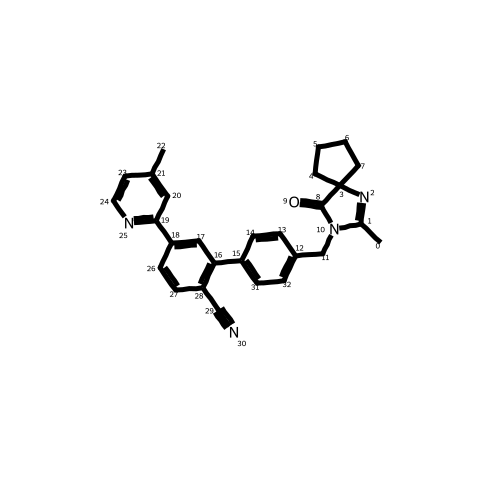 CC1=NC2(CCCC2)C(=O)N1Cc1ccc(-c2cc(-c3cc(C)ccn3)ccc2C#N)cc1